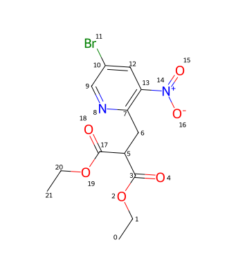 CCOC(=O)C(Cc1ncc(Br)cc1[N+](=O)[O-])C(=O)OCC